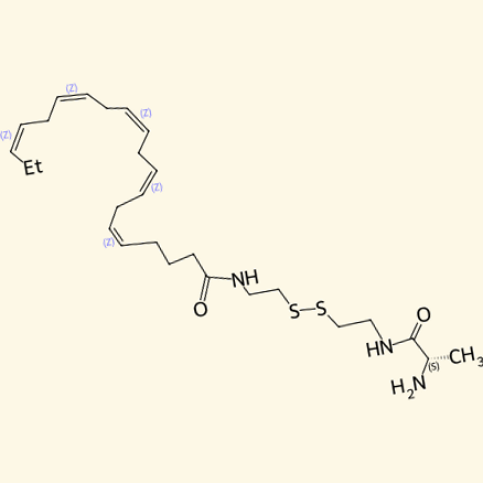 CC/C=C\C/C=C\C/C=C\C/C=C\C/C=C\CCCC(=O)NCCSSCCNC(=O)[C@H](C)N